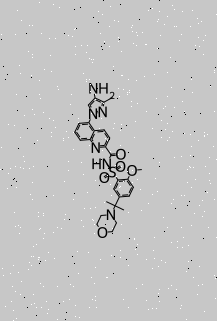 COc1ccc(C(C)(C)N2CCOCC2)cc1S(=O)(=O)NC(=O)c1ccc2c(-n3cc(N)c(C)n3)cccc2n1